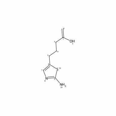 C=C(O)CCCc1cnc(N)s1